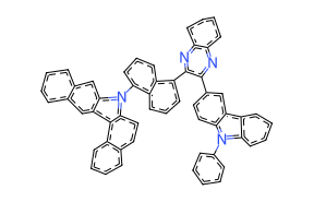 c1ccc(-n2c3ccccc3c3cc(-c4nc5ccccc5nc4-c4cccc5c(-n6c7cc8ccccc8cc7c7c8ccccc8ccc76)cccc45)ccc32)cc1